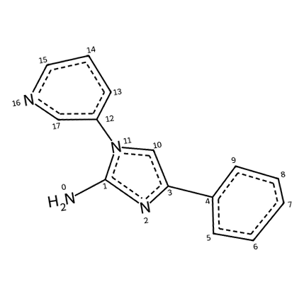 Nc1nc(-c2ccccc2)cn1-c1cccnc1